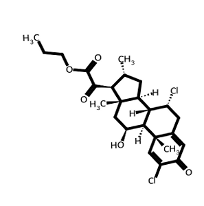 CCCOC(=O)C(=O)[C@H]1[C@H](C)C[C@H]2[C@H]3[C@H]([C@@H](O)C[C@@]21C)[C@@]1(C)C=C(Cl)C(=O)C=C1C[C@H]3Cl